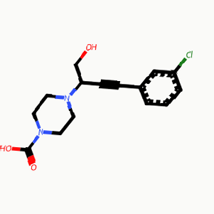 O=C(O)N1CCN(C(C#Cc2cccc(Cl)c2)CO)CC1